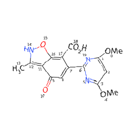 COc1cc(OC)nc(-c2cc(=O)c3c(C)[nH]oc-3c2C(=O)O)n1